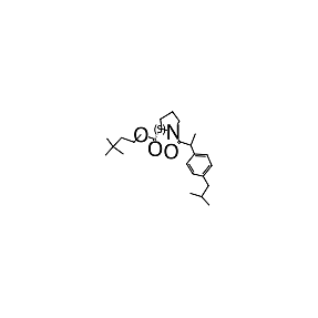 CC(C)Cc1ccc(C(C)C(=O)N2CCC[C@H]2C(=O)OCCC(C)(C)C)cc1